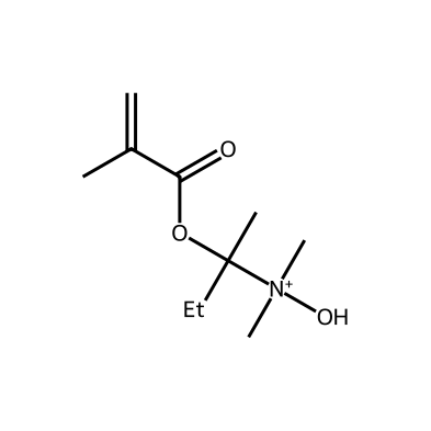 C=C(C)C(=O)OC(C)(CC)[N+](C)(C)O